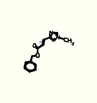 Cn1cnc(/C=C/C(=O)OCc2ccccc2)c1